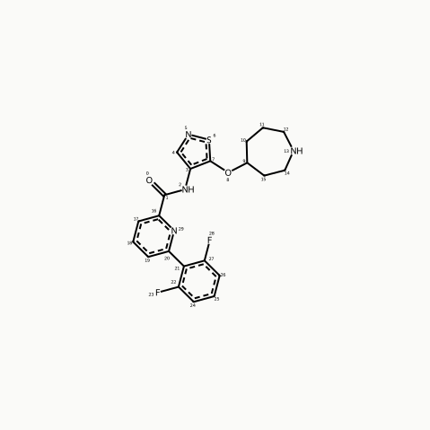 O=C(Nc1cnsc1OC1CCCNCC1)c1cccc(-c2c(F)cccc2F)n1